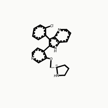 Clc1ccccc1-c1c(-c2ccncc2OC[C@@H]2CCCN2)[nH]c2cccnc12